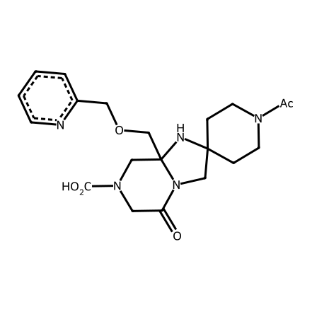 CC(=O)N1CCC2(CC1)CN1C(=O)CN(C(=O)O)CC1(COCc1ccccn1)N2